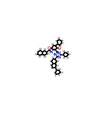 c1ccc(-c2ccc3ccc(-c4nc(-c5ccccc5)nc(-c5c6nc(-c7ccc8ccccc8c7)oc6cc6c5oc5ccccc56)n4)cc3c2)cc1